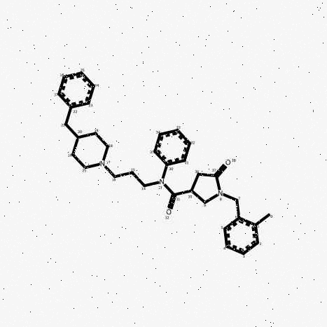 Cc1ccccc1CN1CC(C(=O)N(CCCN2CCC(Cc3ccccc3)CC2)c2ccccc2)CC1=O